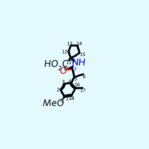 COc1ccc(C(C)C(=O)NC2(C(=O)O)CCCC2)c(C)c1